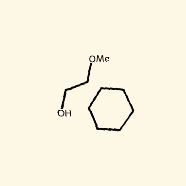 C1CCCCC1.COCCO